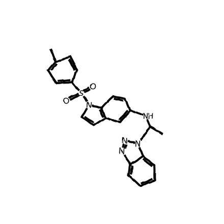 Cc1ccc(S(=O)(=O)n2ccc3cc(NC(C)n4nnc5ccccc54)ccc32)cc1